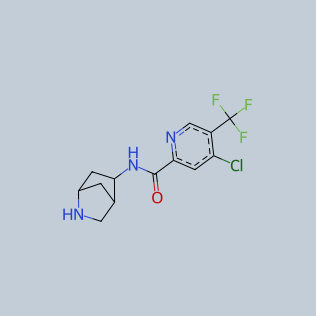 O=C(NC1CC2CC1CN2)c1cc(Cl)c(C(F)(F)F)cn1